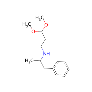 COC(CCNC(C)Cc1ccccc1)OC